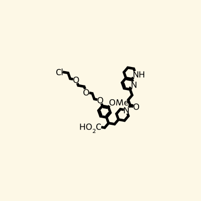 COc1cc(C(CC(=O)O)CC2CCN(C(=O)CCc3ccc4c(n3)NCCC4)CC2)ccc1OCCOCCOCCCl